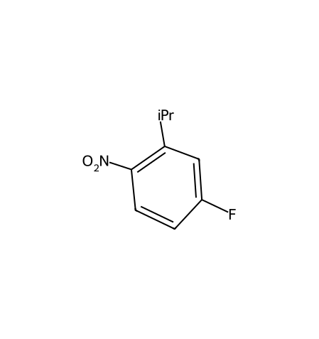 [CH2]C(C)c1cc(F)ccc1[N+](=O)[O-]